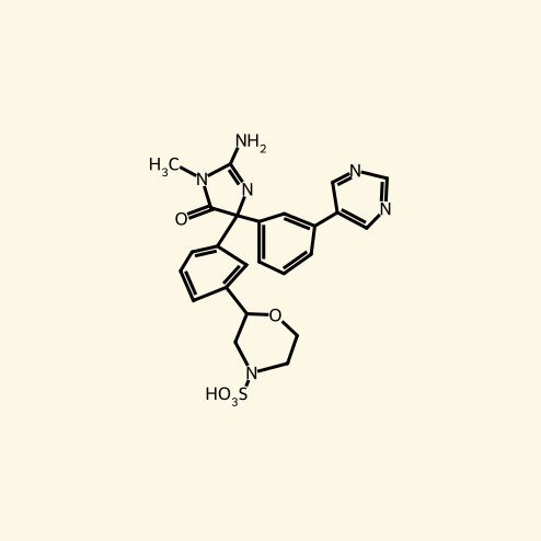 CN1C(=O)C(c2cccc(-c3cncnc3)c2)(c2cccc(C3CN(S(=O)(=O)O)CCO3)c2)N=C1N